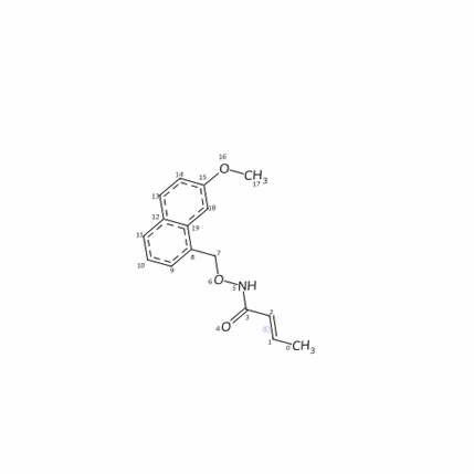 C/C=C/C(=O)NOCc1cccc2ccc(OC)cc12